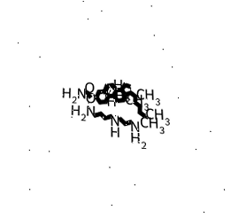 CC(C)CCC[C@@H](C)[C@H]1CC[C@H]2[C@@H]3CC=C4C[C@@H](OC(N)=O)CC[C@]4(C)[C@H]3CC[C@]12C.NCCCCNCCCN